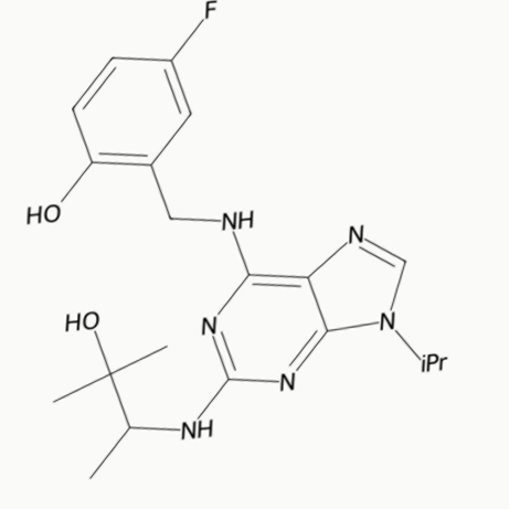 CC(C)n1cnc2c(NCc3cc(F)ccc3O)nc(NC(C)C(C)(C)O)nc21